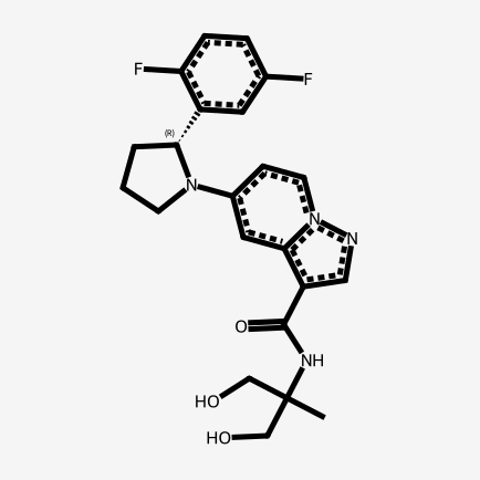 CC(CO)(CO)NC(=O)c1cnn2ccc(N3CCC[C@@H]3c3cc(F)ccc3F)cc12